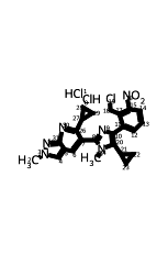 Cl.Cl.Cn1cc2cc(-c3nc(-c4cccc([N+](=O)[O-])c4CCl)c(C4CC4)n3C)c(C3CC3)nc2n1